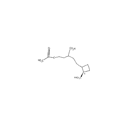 O=C(O)C(=O)CCCC(CCC1CC[C@H]1C(=O)O)C(=O)O